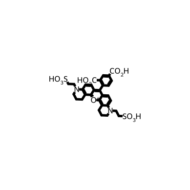 O=C(O)c1ccc(-c2c3ccc4c(c3[o+]c3c5c(ccc23)N(CCS(=O)(=O)O)CCC5)CCCN4CCS(=O)(=O)O)c(C(=O)O)c1